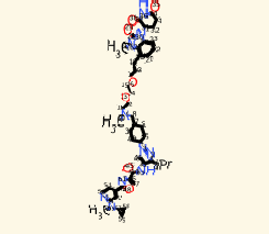 CC(C)c1nn(C2CCC(CN(C)CCOCCOCCCc3cccc4c3n(C)c(=O)n4C3CCC(=O)NC3=O)CC2)cc1NC(=O)c1coc(-c2ccnc(N(C)C3CC3)c2)n1